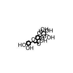 O=c1cc(-c2ccc(O)c(O)c2)oc2cc3c(c(O)c12)[C@@H]1O[C@H](CO)[C@@H](O)[C@H](O)[C@@H]1O3